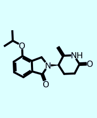 C=C1NC(=O)CC[C@H]1N1Cc2c(OC(C)C)cccc2C1=O